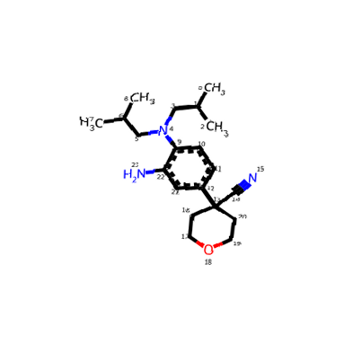 CC(C)CN(CC(C)C)c1ccc(C2(C#N)CCOCC2)cc1N